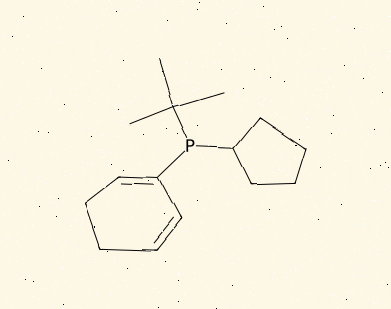 CC(C)(C)P(C1=CCCC=C1)C1CCCC1